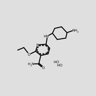 CCOc1nc(NC2CCC(N)CC2)ccc1C(N)=O.Cl.Cl